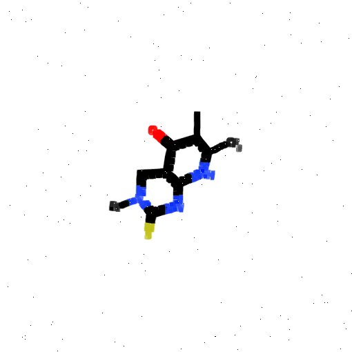 CCn1cc2c(=O)c(C)c(C(F)(F)F)[nH]c2nc1=S